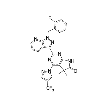 CC1(C)C(=O)Nc2nc(-c3nn(Cc4ccccc4F)c4ncccc34)nc(-n3cc(C(F)(F)F)cn3)c21